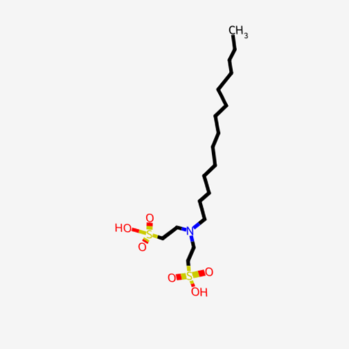 CCCCCCCCCCCCCCN(CCS(=O)(=O)O)CCS(=O)(=O)O